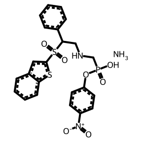 N.O=[N+]([O-])c1ccc(OP(=O)(O)CNCC(c2ccccc2)S(=O)(=O)c2cc3ccccc3s2)cc1